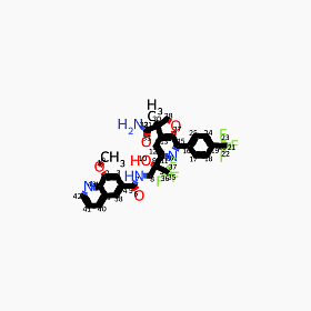 COc1cc(C(=O)NCC(O)(c2cc3c(c(-c4ccc(C(F)(F)F)cc4)n2)OCC3(C)C(N)=O)C(F)(F)F)cc2cccnc12